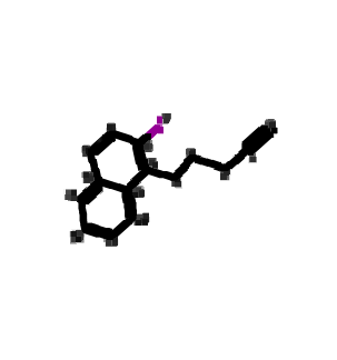 [C]#CCCCc1c(I)ccc2ccccc12